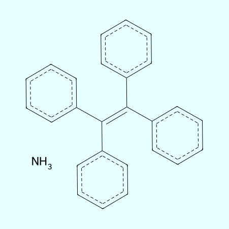 N.c1ccc(C(=C(c2ccccc2)c2ccccc2)c2ccccc2)cc1